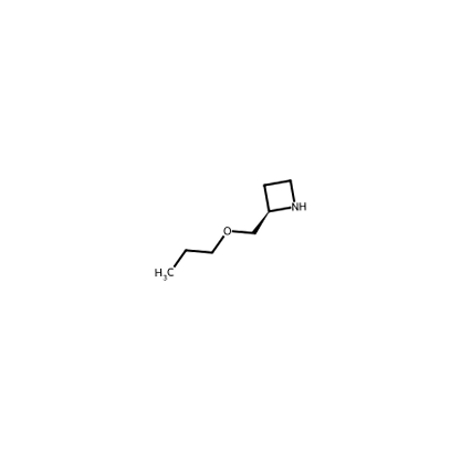 CCCOC[C@H]1CCN1